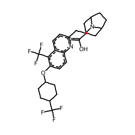 O=C(O)C1CC2CCC(C1)N2CCc1ccc2c(C(F)(F)F)c(OC3CCC(C(F)(F)F)CC3)ccc2n1